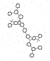 CC1(C)c2ccccc2-c2cc3c(cc21)C(c1cccc(-c2cc(-c4ccccc4)cc(-c4ccccc4)c2)c1)c1ccc(-c2ccc(-c4ccc5c(c4)c4cc6c(cc4n5-c4cccc(-c5cc(-c7ccccc7)cc(-c7ccccc7)c5)c4)C(C)(C)c4ccccc4-6)cc2)cc1-3